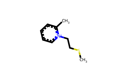 CSCC[n+]1ccccc1C